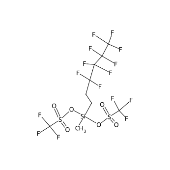 C[Si](CCC(F)(F)C(F)(F)C(F)(F)C(F)(F)F)(OS(=O)(=O)C(F)(F)F)OS(=O)(=O)C(F)(F)F